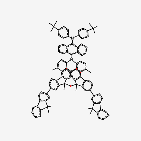 CC1=CC=C(N(c2ccc(C)cc2-c2ccc3c(c2)C(C)(C)c2cc(-c4ccc5c(c4)C(C)(C)c4ccccc4-5)ccc2-3)c2c3ccccc3c(N(c3ccc(C(C)(C)C)cc3)c3ccc(C(C)(C)C)cc3)c3ccccc23)C(c2ccc3c(c2)C(C)(C)c2cc(-c4ccc5c(c4)C(C)(C)c4ccccc4-5)ccc2-3)C1